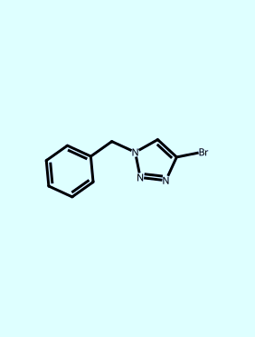 Brc1cn(Cc2ccccc2)nn1